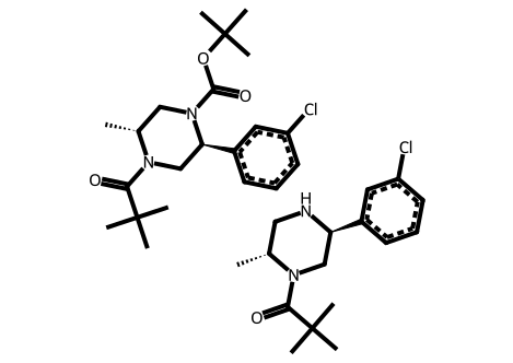 C[C@@H]1CN(C(=O)OC(C)(C)C)[C@@H](c2cccc(Cl)c2)CN1C(=O)C(C)(C)C.C[C@@H]1CN[C@@H](c2cccc(Cl)c2)CN1C(=O)C(C)(C)C